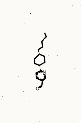 CCCCC[C@H]1CC[C@H](c2ccc(C=O)cn2)CC1